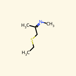 CCSC/C(C)=N\C